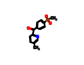 Cc1ccc(C(=O)c2ccc(S(C)(=O)=O)cc2)nc1